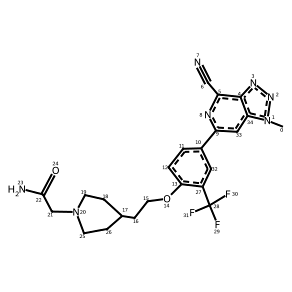 Cn1nnc2c(C#N)nc(-c3ccc(OCCC4CCN(CC(N)=O)CC4)c(C(F)(F)F)c3)cc21